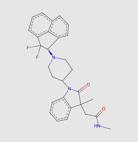 CNC(=O)CC1(C)C(=O)N(C2CCN([C@@H]3c4cccc5cccc(c45)C3(F)F)CC2)c2ccccc21